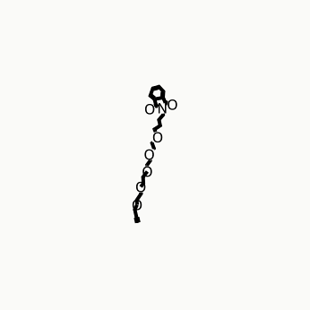 C#CCOCCOCCOCCOCCOCCCCN1C(=O)c2ccccc2C1=O